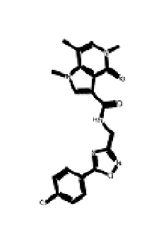 Cc1cn(C)c(=O)c2c(C(=O)NCc3noc(-c4ccc(Cl)cc4)n3)cn(C)c12